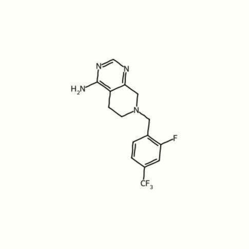 Nc1ncnc2c1CCN(Cc1ccc(C(F)(F)F)cc1F)C2